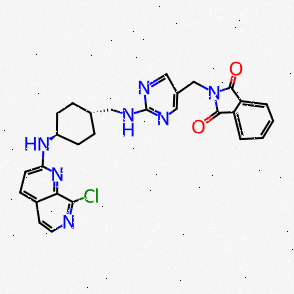 O=C1c2ccccc2C(=O)N1Cc1cnc(NC[C@H]2CC[C@H](Nc3ccc4ccnc(Cl)c4n3)CC2)nc1